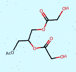 CC(=O)OCC(COC(=O)CO)OC(=O)CO